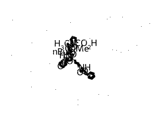 CCCC[C@@H](NC(=O)[C@H](CCCCNC(=O)OCc1ccccc1)OC(=O)N1CCOCC1)P(=O)(OC)OC(C)C(=O)N1CCC[C@H]1C(=O)O